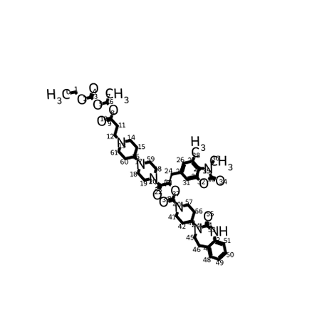 CCOC(=O)OC(C)OC(=O)CCN1CCC(N2CCN(C(=O)[C@@H](Cc3cc(C)c4c(c3)oc(=O)n4C)OC(=O)N3CCC(N4CCc5ccccc5NC4=O)CC3)CC2)CC1